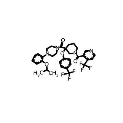 CC(C)Oc1ccccc1N1CCN(C(=O)C2(Oc3ccc(C(F)(F)F)cc3)CCCN(C(=O)c3cnccc3C(F)(F)F)C2)CC1